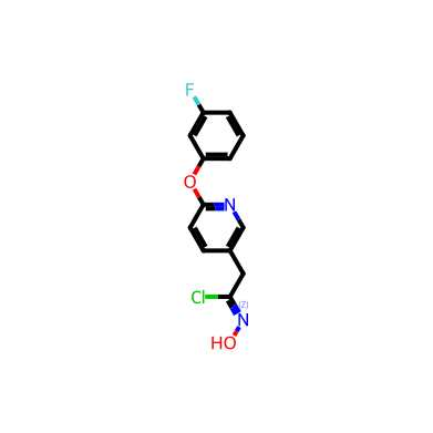 O/N=C(\Cl)Cc1ccc(Oc2cccc(F)c2)nc1